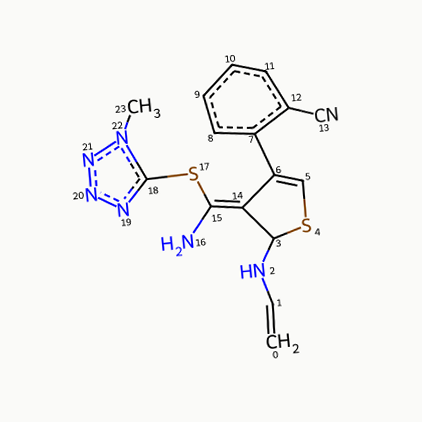 C=CNC1SC=C(c2ccccc2C#N)/C1=C(/N)Sc1nnnn1C